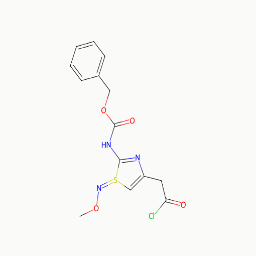 CO/N=S1\C=C(CC(=O)Cl)N=C1NC(=O)OCc1ccccc1